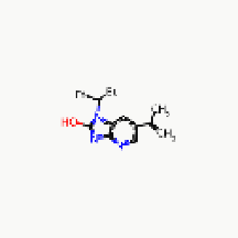 C=C(C)c1cnc2nc(O)n(C(CC)CC)c2c1